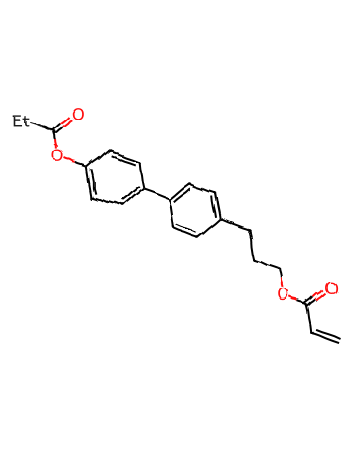 C=CC(=O)OCCCc1ccc(-c2ccc(OC(=O)CC)cc2)cc1